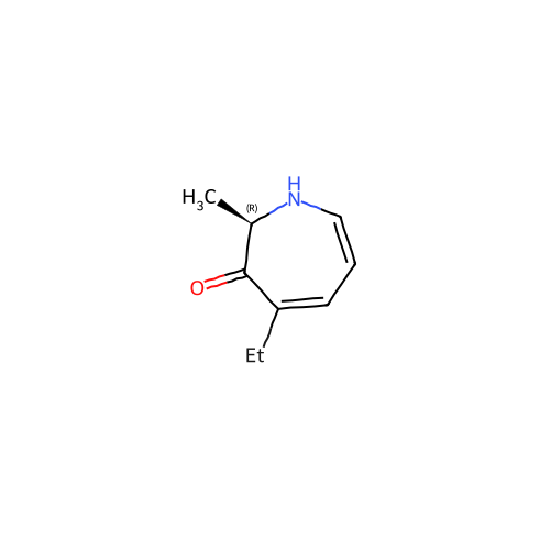 CCC1=CC=CN[C@H](C)C1=O